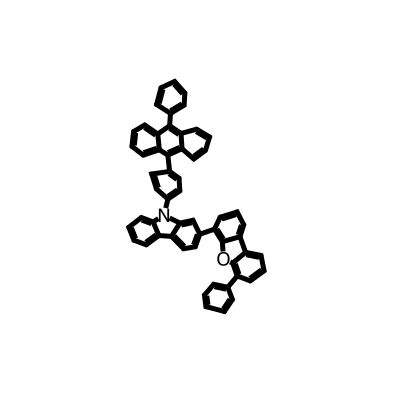 c1ccc(-c2c3ccccc3c(-c3ccc(-n4c5ccccc5c5ccc(-c6cccc7c6oc6c(-c8ccccc8)cccc67)cc54)cc3)c3ccccc23)cc1